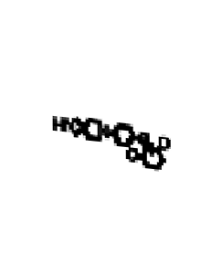 O=C1CCCC(=O)N1Oc1ccc(N2CCC3(CC2)CNC3)cc1